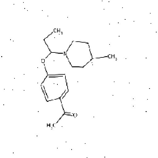 CCC(Oc1ccc(C(C)=O)cc1)N1CCC(C)CC1